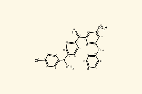 CN(c1ccc(Cl)cc1)c1ccc(C(=N)c2cc(Oc3ccccc3)cc(C(=O)O)c2)cc1